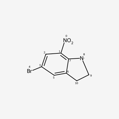 O=[N+]([O-])c1cc(Br)cc2c1[N]CC2